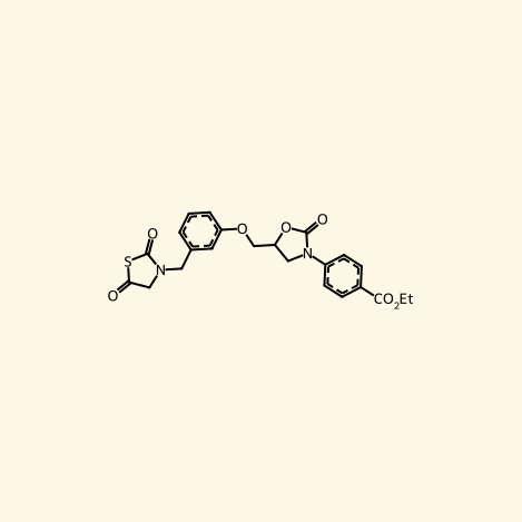 CCOC(=O)c1ccc(N2CC(COc3cccc(CN4CC(=O)SC4=O)c3)OC2=O)cc1